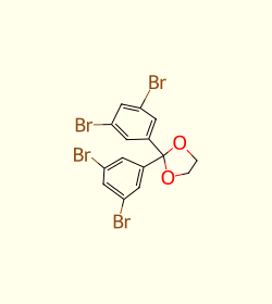 Brc1cc(Br)cc(C2(c3cc(Br)cc(Br)c3)OCCO2)c1